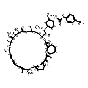 CO[C@H]1C[C@@H]2CC[C@@H](C)[C@@](O)(O2)C(=O)C(=O)N2CCCC[C@H]2C(=O)O[C@H]([C@H](C)C[C@@H]2CC[C@@H](OC(=S)Oc3ccc([N+](=O)[O-])cc3)[C@H](OC)C2)C[C@@H](OC)[C@H](C)/C=C(\C)[C@@H](O)[C@@H](OC)C(=O)[C@H](C)C[C@H](C)/C=C/C=C/C=C/1C